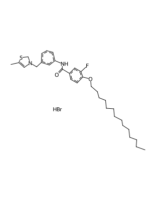 Br.CCCCCCCCCCCCCCOc1ccc(C(=O)Nc2cccc(CN3C=C(C)SC3)c2)cc1F